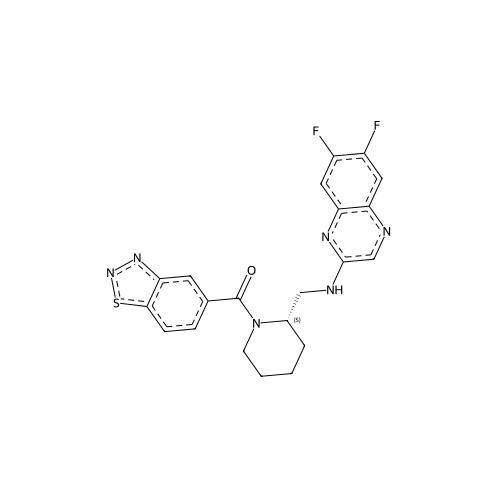 O=C(c1ccc2snnc2c1)N1CCCC[C@H]1CNc1cnc2cc(F)c(F)cc2n1